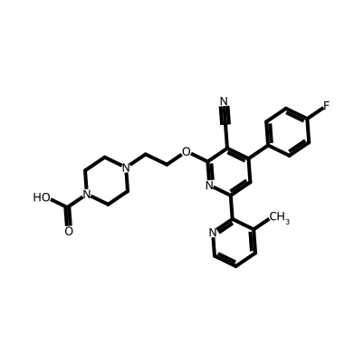 Cc1cccnc1-c1cc(-c2ccc(F)cc2)c(C#N)c(OCCN2CCN(C(=O)O)CC2)n1